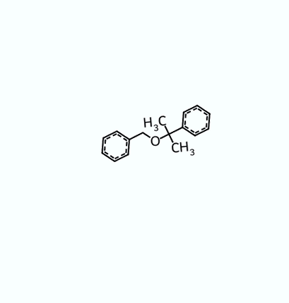 CC(C)(OCc1ccccc1)c1ccccc1